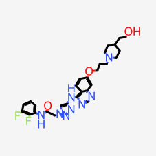 O=C(Cn1cc(Nc2ncnc3cc(OCCCN4CCC(CCO)CC4)ccc23)nn1)Nc1cccc(F)c1F